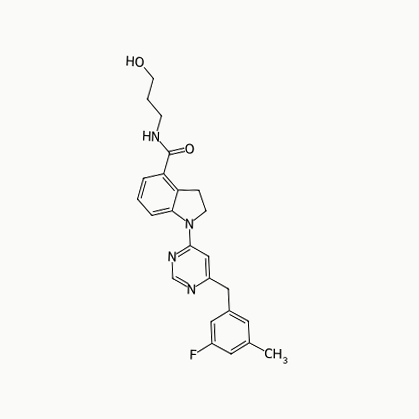 Cc1cc(F)cc(Cc2cc(N3CCc4c(C(=O)NCCCO)cccc43)ncn2)c1